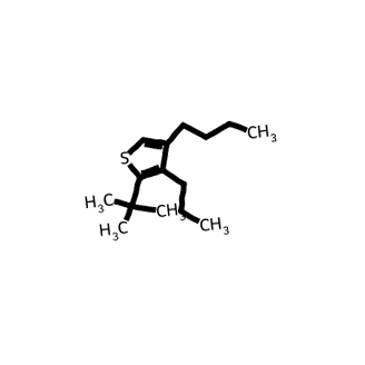 CCCCc1csc(C(C)(C)C)c1CCC